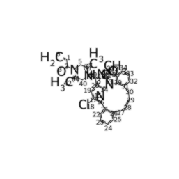 C=CC(=O)N1C[C@H](C)N(c2nc(=O)n3c4nc(c(Cl)cc24)-c2ccccc2CC=CCc2cccc(C(C)C)c2-3)C[C@H]1C